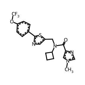 Cn1cnc(C(=O)N(Cc2cnc(-c3ccc(OC(F)(F)F)cc3)s2)C2CCC2)c1